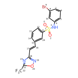 O=S(=O)(Nc1cccc(Br)c1)c1cccc(/C=C/c2noc(C(F)(F)F)n2)c1